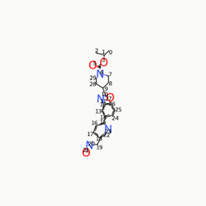 CC(C)OC(=O)N1CCC(c2nc3cc(-c4ccc(CN=O)cn4)ccc3o2)CC1